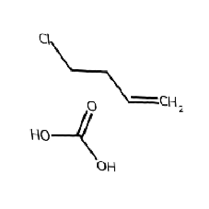 C=CCCCl.O=C(O)O